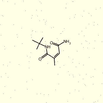 CC(=CC(N)=O)C(=O)NC(C)(C)C